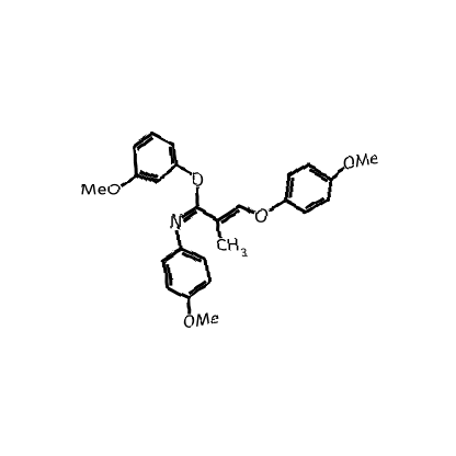 COc1ccc(/N=C(Oc2cccc(OC)c2)\C(C)=C\Oc2ccc(OC)cc2)cc1